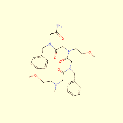 COCCN(C)CC(=O)N(CC(=O)N(CCOC)CC(=O)N(CC(N)=O)Cc1ccccc1)Cc1ccccc1